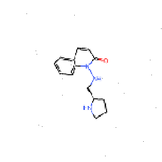 O=c1ccc2ccccc2n1NC[C@H]1CCCN1